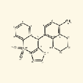 Cc1ccc(N2c3ccccc3S(=O)(=O)c3ccoc32)c2c1CCCO2